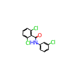 O=C(Nc1cccc(Cl)c1)c1c(Cl)cccc1Cl